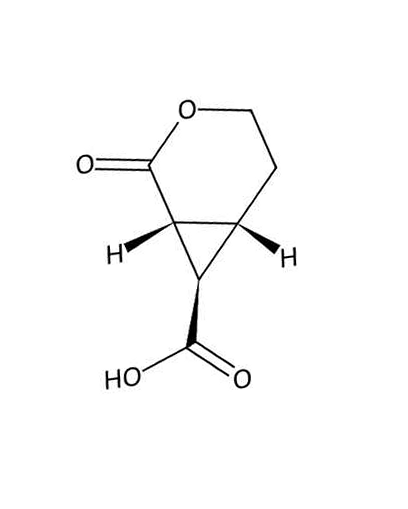 O=C(O)[C@@H]1[C@H]2CCOC(=O)[C@H]21